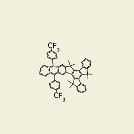 CC1(C)c2ccccc2-c2c1c1c(c3c2C(C)(C)c2cc4c(-c5ccc(C(F)(F)F)cc5)c5ccccc5c(-c5ccc(C(F)(F)F)cc5)c4cc2-3)C(C)(C)c2ccccc2-1